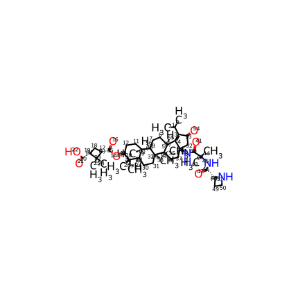 CC(C)C1=C2[C@H]3CC[C@@H]4[C@@]5(C)CC[C@H](OC(=O)[C@H]6C[C@@H](C(=O)O)C6(C)C)C(C)(C)[C@@H]5CC[C@@]4(C)[C@]3(C)CC[C@@]2(NC(=O)C(C)(C)NC(=O)[C@H]2CCN2)CC1=O